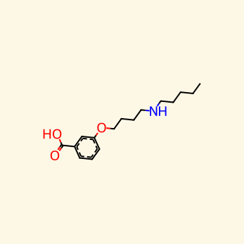 CCCCCNCCCCOc1cccc(C(=O)O)c1